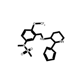 CN(c1ccc(OC(F)(F)F)c(CNC2CCCNC2c2ccccc2)c1)S(C)(=O)=O